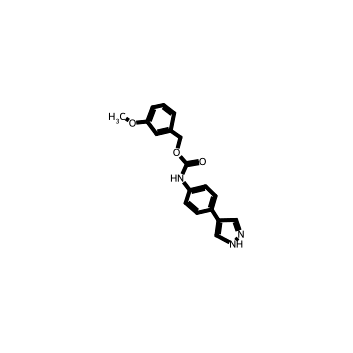 COc1cccc(COC(=O)Nc2ccc(-c3cn[nH]c3)cc2)c1